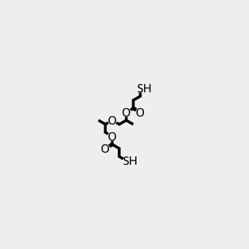 CC(COC(=O)CCS)OCC(C)OC(=O)CCS